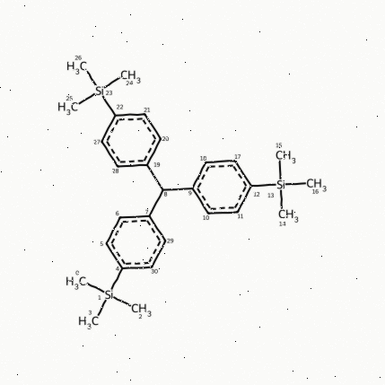 C[Si](C)(C)c1ccc(C(c2ccc([Si](C)(C)C)cc2)c2ccc([Si](C)(C)C)cc2)cc1